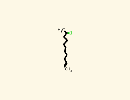 CC=CCCCCCCCC(C)Cl